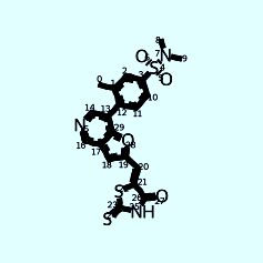 Cc1cc(S(=O)(=O)N(C)C)ccc1-c1cncc2cc(/C=C3\SC(=S)NC3=O)oc12